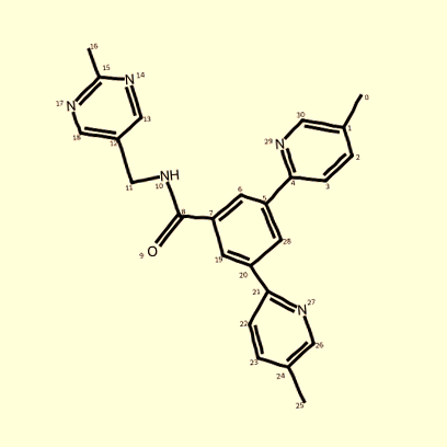 Cc1ccc(-c2cc(C(=O)NCc3cnc(C)nc3)cc(-c3ccc(C)cn3)c2)nc1